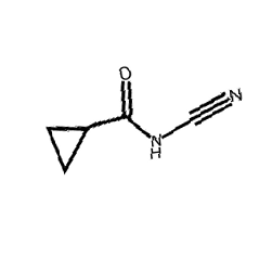 N#CNC(=O)C1CC1